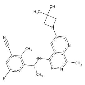 Cc1c(C#N)cc(F)cc1[C@@H](C)Nc1nnc(C)c2ncc(N3CC(C)(O)C3)cc12